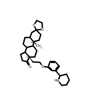 C[C@]12CCC3(CC1CCC1C4CCC(=O)[C@@]4(CCOc4cccc(C5CCCCN5)c4)CCC12)OCCO3